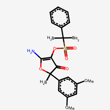 BC1(c2cc(OC)cc(OC)c2)OC(N)=C(OS(=O)(=O)C(B)(B)c2ccccc2)C1=O